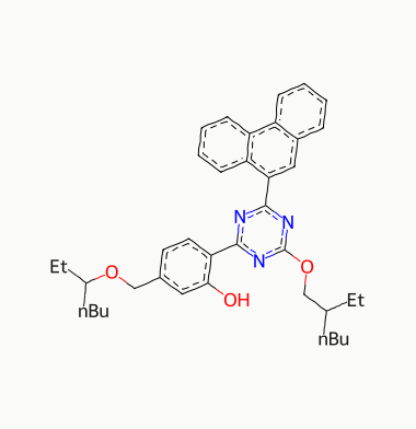 CCCCC(CC)COc1nc(-c2ccc(COC(CC)CCCC)cc2O)nc(-c2cc3ccccc3c3ccccc23)n1